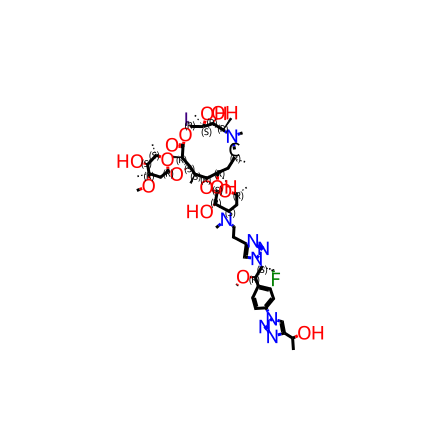 CO[C@H](c1ccc(-n2cc(C(C)O)nn2)cc1)[C@@H](CF)n1cc(CCN(C)[C@H]2C[C@@H](C)O[C@@H](O[C@@H]3[C@@H](C)[C@H](O[C@H]4C[C@@](C)(OC)[C@@H](O)[C@H](C)O4)[C@@H](C)C(=O)O[C@H](I)[C@@](C)(O)[C@H](O)[C@@H](C)N(C)C[C@H](C)C[C@@]3(C)O)[C@@H]2O)nn1